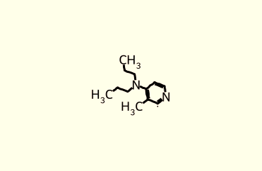 CCCN(CCC)c1ccn[c]c1C